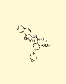 COc1cc(N2CCOCC2)ccc1N(C)/N=C(\C)c1ccc2ccccc2[n+]1C